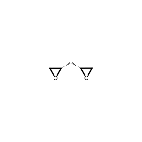 C1O[C@H]1C[C@@H]1CO1